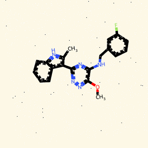 COc1nnc(-c2c(C)[nH]c3ccccc23)nc1NCc1cccc(F)c1